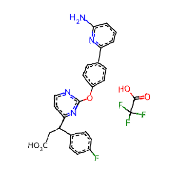 Nc1cccc(-c2ccc(Oc3nccc(C(CC(=O)O)c4ccc(F)cc4)n3)cc2)n1.O=C(O)C(F)(F)F